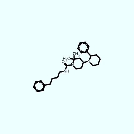 CC1(C)CC(N2CCCCC2c2ccccc2)CCN1C(=O)NCCCCc1ccccc1